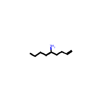 C=CCCC(N)CCCC